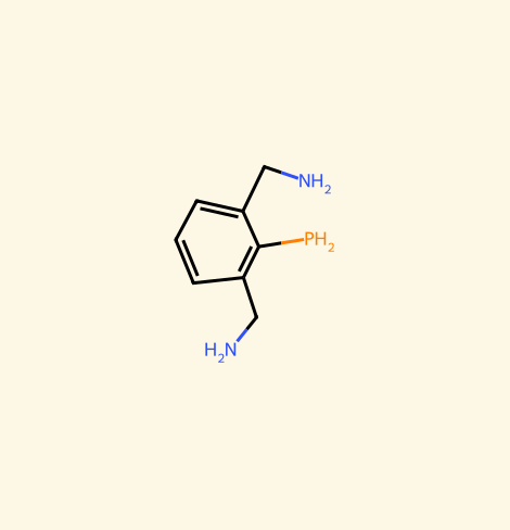 NCc1cccc(CN)c1P